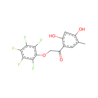 Cc1cc(C(=O)COc2c(F)c(F)c(F)c(F)c2F)c(O)cc1O